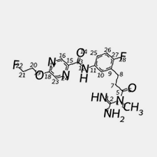 CN(C(=N)N)C(=O)CCc1cc(NC(=O)c2cnc(OCCF)cn2)ccc1F